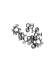 O=C(O)/C=C/C(=O)O.O=C1[C@H]2CC=CC[C@H]2C(=O)N1CC(O)CN1CCN(c2ccccn2)CC1